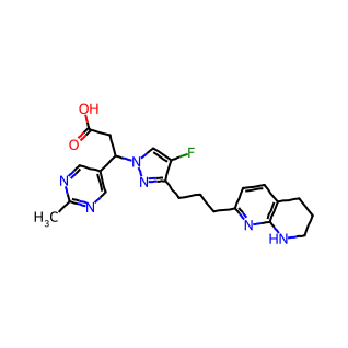 Cc1ncc(C(CC(=O)O)n2cc(F)c(CCCc3ccc4c(n3)NCCC4)n2)cn1